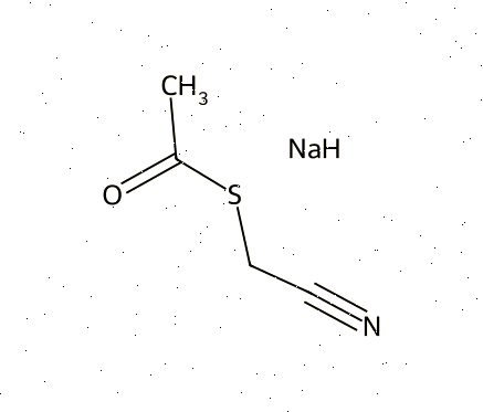 CC(=O)SCC#N.[NaH]